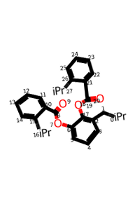 CC(C)Cc1cccc(OC(=O)c2ccccc2C(C)C)c1OC(=O)c1ccccc1C(C)C